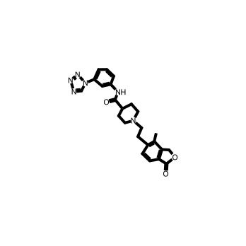 Cc1c(CCN2CCC(C(=O)Nc3cccc(-n4cnnn4)c3)CC2)ccc2c1COC2=O